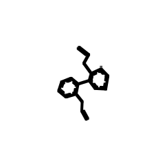 C=CCc1[c]cccc1-c1ccccc1CC=C